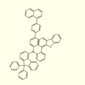 c1ccc(C2(c3ccccc3)c3ccccc3-c3c(N(c4ccc(-c5ccc(-c6cccc7ccccc67)cc5)cc4)c4ccccc4-c4cccc5c4sc4ccccc45)cccc32)cc1